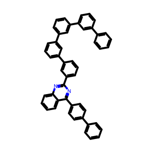 c1ccc(-c2ccc(-c3nc(-c4cccc(-c5cccc(-c6cccc(-c7cccc(-c8ccccc8)c7)c6)c5)c4)nc4ccccc34)cc2)cc1